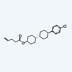 C=CCCC(=O)OC1CCC([C@H]2CC[C@H](c3ccc(Cl)cc3)CC2)CC1